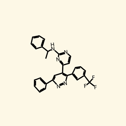 CC(Nc1nccc(-c2cc(-c3ccccc3)nnc2-c2cccc(C(F)(F)F)c2)n1)c1ccccc1